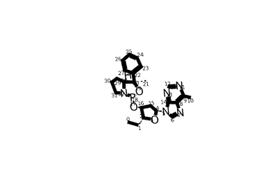 CC[C@H]1O[C@@H](n2cnc3c(C)ncnc32)C[C@H]1O[P@@]1O[C@](C)(c2ccccc2)[C@@H]2CCCN21